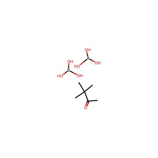 CC(=O)C(C)(C)C.OB(O)O.OB(O)O